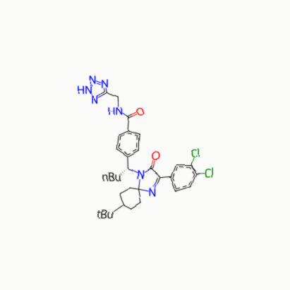 CCCC[C@H](c1ccc(C(=O)NCc2nn[nH]n2)cc1)N1C(=O)C(c2ccc(Cl)c(Cl)c2)=NC12CCC(C(C)(C)C)CC2